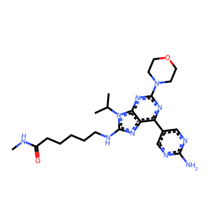 CNC(=O)CCCCCNc1nc2c(-c3cnc(N)nc3)nc(N3CCOCC3)nc2n1C(C)C